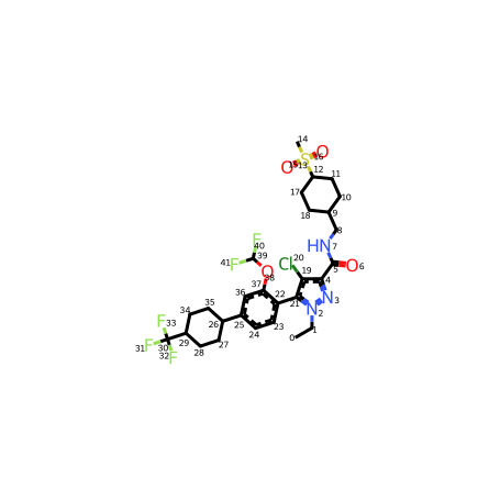 CCn1nc(C(=O)NCC2CCC(S(C)(=O)=O)CC2)c(Cl)c1-c1ccc(C2CCC(C(F)(F)F)CC2)cc1OC(F)F